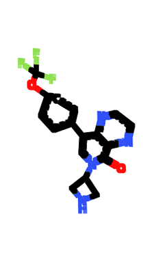 O=c1c2nccnc2c(-c2ccc(OC(F)(F)F)cc2)cn1C1CNC1